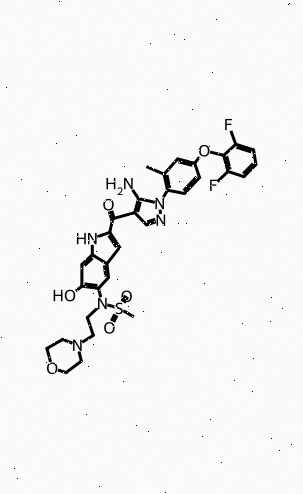 Cc1cc(Oc2c(F)cccc2F)ccc1-n1ncc(C(=O)c2cc3cc(N(CCN4CCOCC4)S(C)(=O)=O)c(O)cc3[nH]2)c1N